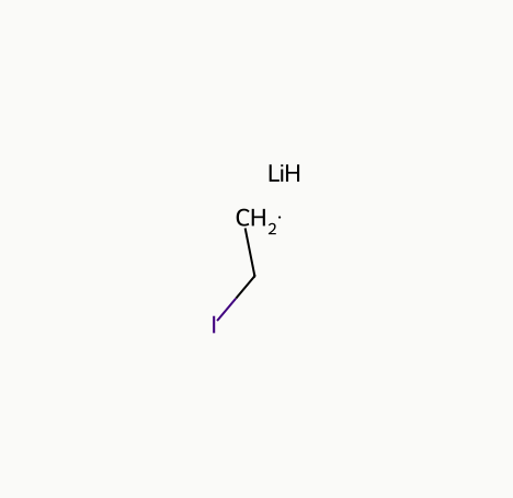 [CH2]CI.[LiH]